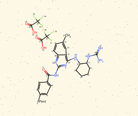 CCCCCc1ccc(C(=O)Nc2nc(NC3CCCCC3NC(=N)N)c3cc(C)ccc3n2)cc1.O=C(O)C(F)(F)F.O=C(O)C(F)(F)F